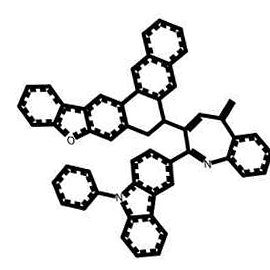 C=C1C=C(C2Cc3cc4oc5ccccc5c4cc3-c3cc4ccccc4cc32)C(c2ccc3c(c2)c2ccccc2n3-c2ccccc2)=Nc2ccccc21